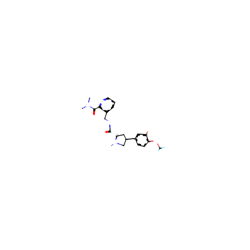 CC(=O)N1CC(c2ccc(OC(F)F)c(O)c2)C[C@@H]1C(=O)NCc1cccnc1C(=O)N(C)C